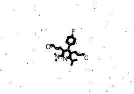 CC(C)c1nc(N(C)C)c(/C=C/C=O)c(-c2ccc(F)cc2)c1/C=C/C=O